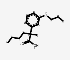 CCCCC(C)(C(=O)O)c1cccc(OCCC)c1